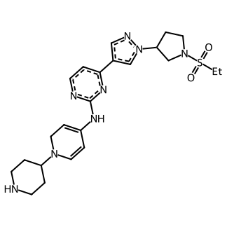 CCS(=O)(=O)N1CCC(n2cc(-c3ccnc(NC4=CCN(C5CCNCC5)C=C4)n3)cn2)C1